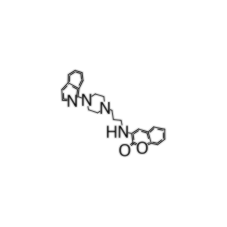 O=c1oc2ccccc2cc1NCCCN1CCN(c2nccc3ccccc23)CC1